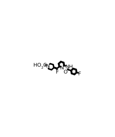 O=C(Nc1cccc(C(F)=C2CCN(C(=O)O)CC2)n1)c1ccc(F)cc1